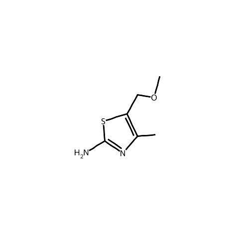 COCc1sc(N)nc1C